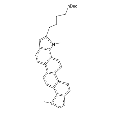 CCCCCCCCCCCCCCc1cc2ccc3c4ccc5c(ccc6ccn(C)c65)c4ccc3c2n1C